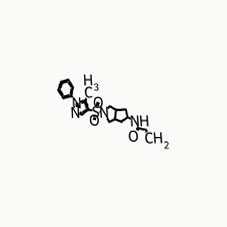 C=CC(=O)NC1CC2CN(S(=O)(=O)c3cnn(-c4ccccc4)c3C)CC2C1